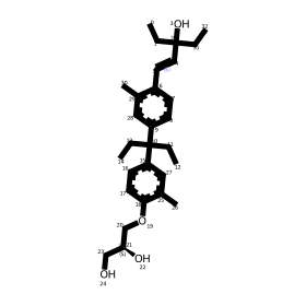 CCC(O)(/C=C/c1ccc(C(CC)(CC)c2ccc(OC[C@@H](O)CO)c(C)c2)cc1C)CC